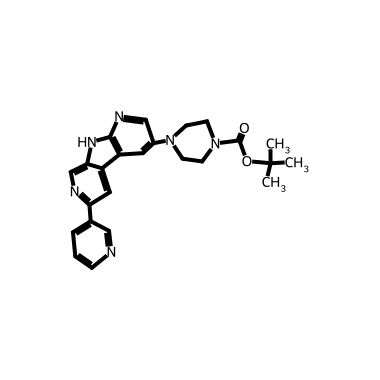 CC(C)(C)OC(=O)N1CCN(c2cnc3[nH]c4cnc(-c5cccnc5)cc4c3c2)CC1